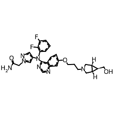 NC(=O)Cn1cc(N(c2cccc(F)c2F)c2ncnc3cc(OCCCN4C[C@@H]5[C@@H](CO)[C@@H]5C4)ccc23)cn1